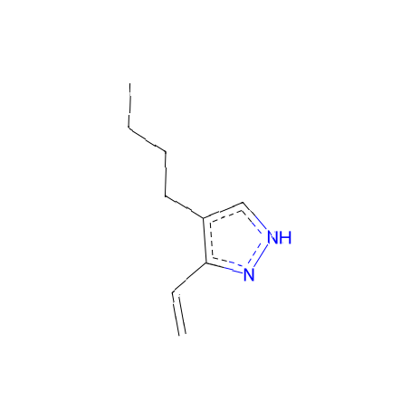 C=Cc1n[nH]cc1CCCC